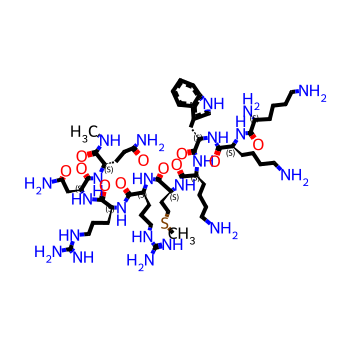 CNC(=O)[C@H](CCC(N)=O)NC(=O)[C@H](CC(N)=O)NC(=O)[C@H](CCCNC(=N)N)NC(=O)[C@H](CCCNC(=N)N)NC(=O)[C@H](CCSC)NC(=O)[C@H](CCCCN)NC(=O)[C@H](Cc1c[nH]c2ccccc12)NC(=O)[C@H](CCCCN)NC(=O)[C@@H](N)CCCCN